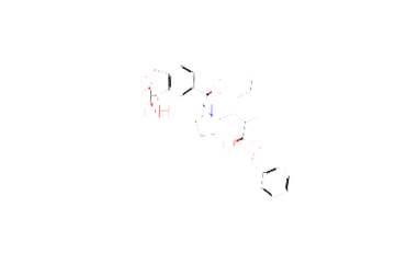 CCC[C@H](C(C)C(=O)OCc1ccccc1)[C@@H]1CCCN1C(=O)c1ccc2c(c1)B(O)OC2